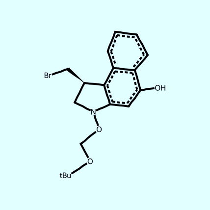 CC(C)(C)OCON1C[C@@H](CBr)c2c1cc(O)c1ccccc21